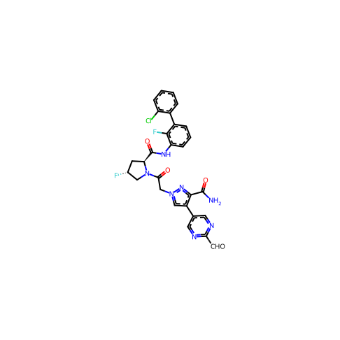 NC(=O)c1nn(CC(=O)N2C[C@H](F)C[C@H]2C(=O)Nc2cccc(-c3ccccc3Cl)c2F)cc1-c1cnc(C=O)nc1